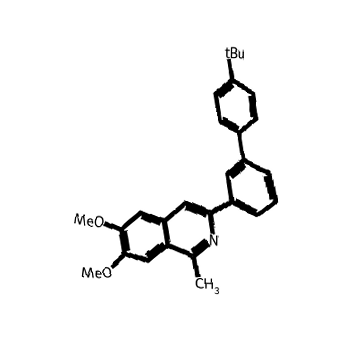 COc1cc2cc(-c3cccc(-c4ccc(C(C)(C)C)cc4)c3)nc(C)c2cc1OC